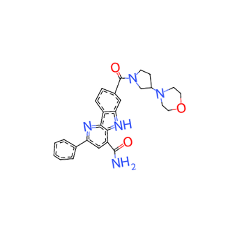 NC(=O)c1cc(-c2ccccc2)nc2c1[nH]c1cc(C(=O)N3CCC(N4CCOCC4)C3)ccc12